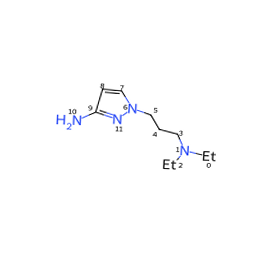 CCN(CC)CCCn1ccc(N)n1